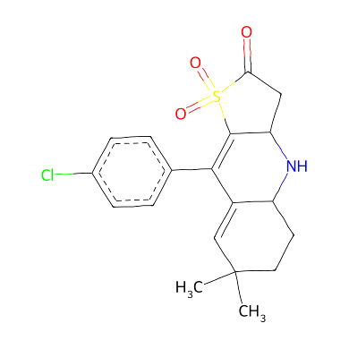 CC1(C)C=C2C(c3ccc(Cl)cc3)=C3C(CC(=O)S3(=O)=O)NC2CC1